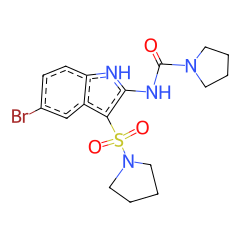 O=C(Nc1[nH]c2ccc(Br)cc2c1S(=O)(=O)N1CCCC1)N1CCCC1